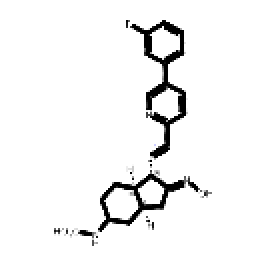 O=C(O)NC1CC[C@@H]2[C@@H](CC(=NO)[C@H]2/C=C/c2ccc(-c3cccc(F)c3)cn2)C1